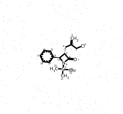 C=C(CCl)C[C@@H]1C(=O)N([Si](C)(C)C(C)(C)C)[C@H]1c1ccccc1